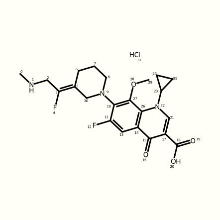 CNC/C(F)=C1\CCCN(c2c(F)cc3c(=O)c(C(=O)O)cn(C4CC4)c3c2OC)C1.Cl